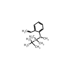 C=Cc1ccccc1N(C)[Si](C)(C)C(C)(C)C